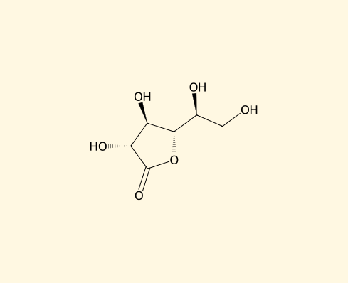 O=C1O[C@@H]([C@@H](O)CO)[C@H](O)[C@H]1O